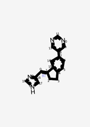 C(=C1/CCc2ccc(-c3cncnc3)cc21)/c1c[nH]cn1